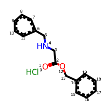 Cl.O=C(CNCc1ccccc1)OCc1ccccc1